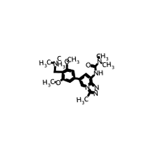 COc1cc(-c2cc(NC(=O)N(C)C)c3nnc(C)n3c2)cc(OC)c1CN(C)C